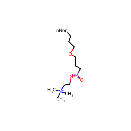 CCCCCCCCCCCCOCCC[PH](=O)OCC[N+](C)(C)C